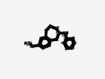 COc1ccc2c(c1)CCCN(Nc1ccncc1)C2